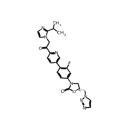 CC(C)c1nccn1CC(=O)c1ccc(-c2ccc(N3C[C@H](Cn4ccnn4)OC3=O)cc2F)cn1